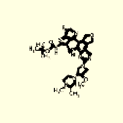 COC1CN(c2ncc3c4c(c(-c5ncc(F)c6sc(NC(=O)OC(C)(C)C)c(C#N)c56)c(F)c3n2)COC4)CC1N1CCN(C)[C@@H](C)C1